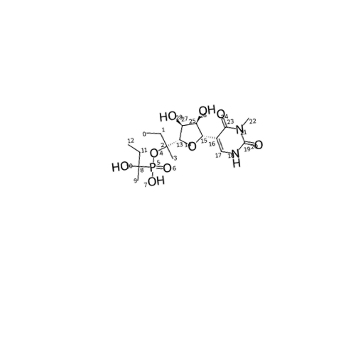 CCC(C)(OP(=O)(O)C(C)(O)CC)[C@H]1O[C@@H](c2c[nH]c(=O)n(C)c2=O)[C@H](O)[C@@H]1O